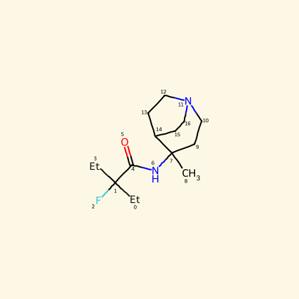 CCC(F)(CC)C(=O)NC1(C)CCN2CCC1CC2